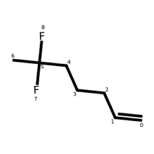 C=CCCCC(C)(F)F